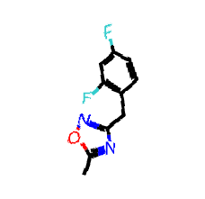 Cc1nc(Cc2ccc(F)cc2F)no1